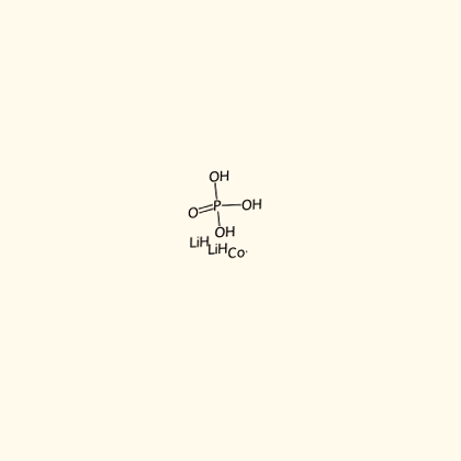 O=P(O)(O)O.[Co].[LiH].[LiH]